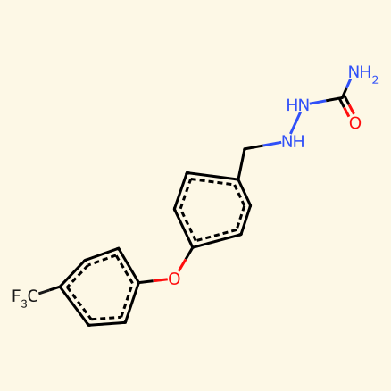 NC(=O)NNCc1ccc(Oc2ccc(C(F)(F)F)cc2)cc1